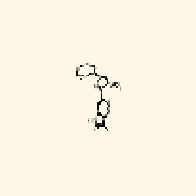 O=[N+]([O-])c1cn(C2CCCCO2)nc1-c1cc2[nH]nc(I)c2cn1